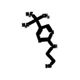 CC(C)(C)c1cnc(NCCO)nc1